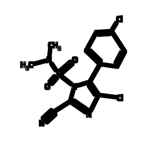 CN(C)S(=O)(=O)n1c(C#N)nc(Cl)c1-c1ccc(Cl)cc1